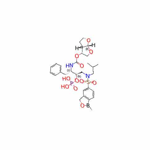 CB1OCc2cc(S(=O)(=O)N(CC(C)C)C[C@@H](OP(=O)(O)O)[C@H](Cc3ccccc3)NC(=O)OC3CO[C@H]4OCC[C@@H]34)ccc21